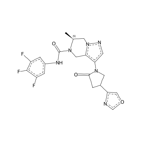 C[C@H]1Cn2ncc(N3CC(c4cocn4)CC3=O)c2CN1C(=O)Nc1cc(F)c(F)c(F)c1